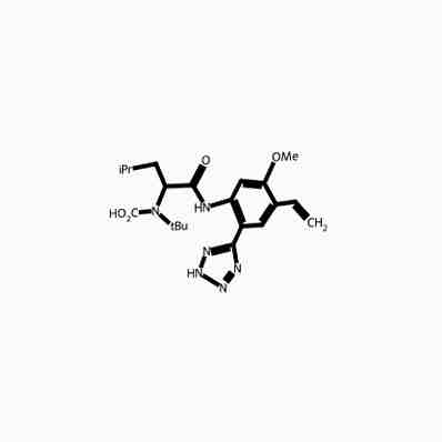 C=Cc1cc(-c2nn[nH]n2)c(NC(=O)C(CC(C)C)N(C(=O)O)C(C)(C)C)cc1OC